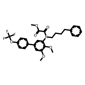 COC(=O)C(=O)N(CCCCc1ccccc1)c1cc(-c2ccc(OC(F)(F)F)cc2)cc(OC)c1OC